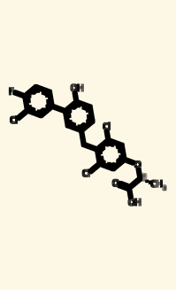 C[C@@H](Oc1cc(Cl)c(Cc2ccc(O)c(-c3ccc(F)c(Cl)c3)c2)c(Cl)c1)C(=O)O